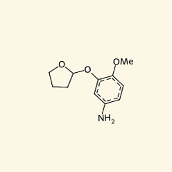 COc1ccc(N)cc1OC1CCCO1